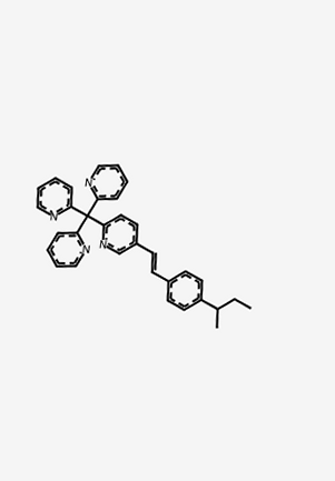 CCC(C)c1ccc(C=Cc2ccc(C(c3ccccn3)(c3ccccn3)c3ccccn3)nc2)cc1